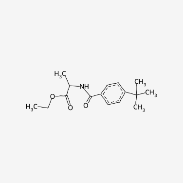 CCOC(=O)C(C)NC(=O)c1ccc(C(C)(C)C)cc1